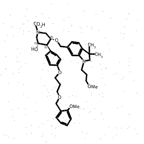 COCCCN1CC(C)(C)c2ccc(CO[C@H]3CN(C(=O)O)C[C@@H](O)[C@@H]3c3ccc(OCCCOCc4ccccc4OC)cc3)cc21